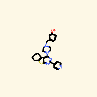 Oc1cccc(CN2CCN(c3nc(-c4ccncc4)nc4sc5c(c34)CCCC5)CC2)c1